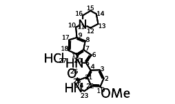 COc1ccc(-c2cc3cc(CN4CCCCC4)ccc3[nH]2)c2c1CNC2=O.Cl